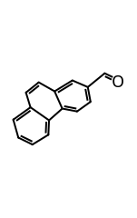 O=Cc1ccc2c(ccc3ccccc32)c1